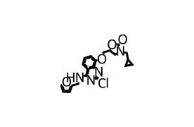 O=C1OC(COc2cccc3c(NCc4ccco4)nc(Cl)nc23)CN1CC1CC1